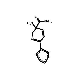 NC(=O)C1([N+](=O)[O-])C=CC(c2ccccc2)=CC1